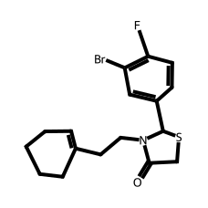 O=C1CSC(c2ccc(F)c(Br)c2)N1CCC1=CCCCC1